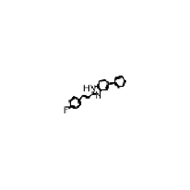 Fc1ccc(C=Cc2nc3cc(-c4ccccc4)ccc3[nH]2)cc1